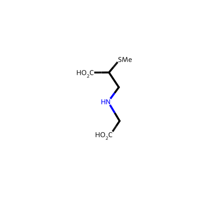 CSC(CNCC(=O)O)C(=O)O